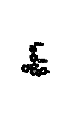 COc1ncn(-c2ccc(C(=O)N[C@]3(c4ccccc4)CCc4cc5cc(C)ccc5n4C3)c(OC)c2)n1